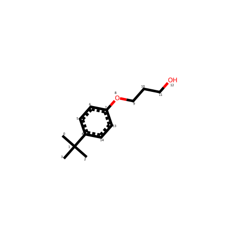 CC(C)(C)c1ccc(OCCCO)cc1